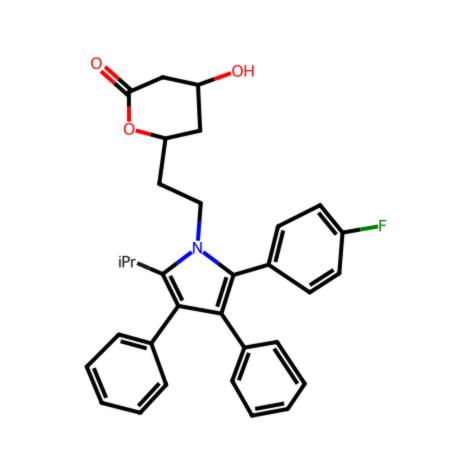 CC(C)c1c(-c2ccccc2)c(-c2ccccc2)c(-c2ccc(F)cc2)n1CCC1CC(O)CC(=O)O1